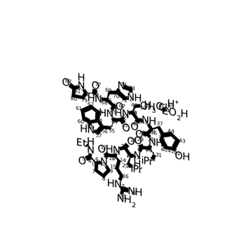 CC(=O)O.CCNC(=O)[C@@H]1CCCN1C(=O)[C@H](CCCNC(=N)N)NC(=O)[C@H](CC(C)C)NC(=O)[C@@H](CC(C)C)NC(=O)[C@H](Cc1ccc(O)cc1)NC(=O)[C@H](CO)NC(=O)[C@H](Cc1c[nH]c2ccccc12)NC(=O)[C@H](Cc1c[nH]cn1)NC(=O)[C@@H]1CCC(=O)N1.[Cl-].[H+]